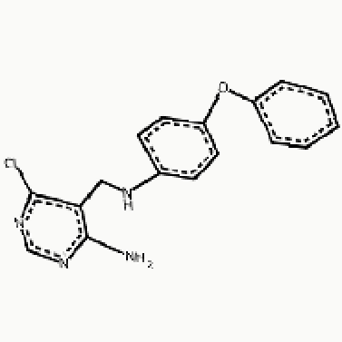 Nc1ncnc(Cl)c1CNc1ccc(Oc2ccccc2)cc1